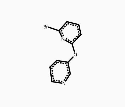 Brc1cccc(Oc2cccnc2)n1